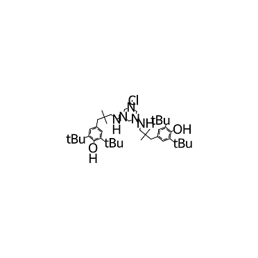 CC(C)(CNN1CN(Cl)CN(NCC(C)(C)Cc2cc(C(C)(C)C)c(O)c(C(C)(C)C)c2)C1)Cc1cc(C(C)(C)C)c(O)c(C(C)(C)C)c1